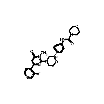 Cn1c(N2CCO[C@@H](c3ccc(NC(=O)N4CCOCC4)cc3)C2)nc(-c2ccncc2F)cc1=O